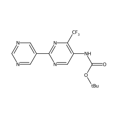 CC(C)(C)OC(=O)Nc1cnc(-c2cncnc2)nc1C(F)(F)F